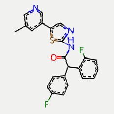 Cc1cncc(-c2cnc(NC(=O)C(c3ccc(F)cc3)c3ccccc3F)s2)c1